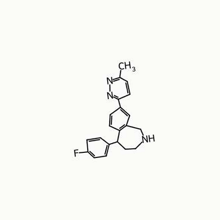 Cc1ccc(-c2ccc3c(c2)CNCCC3c2ccc(F)cc2)nn1